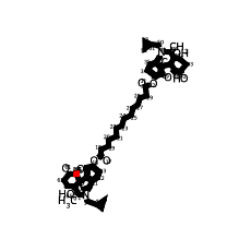 CC1N(CC2CC2)C2C[C@]34c5c2ccc(OC(=O)CCCCCCCCCCCCC(=O)Oc2ccc6c7c2O[C@H]2C(=O)CC[C@@]8(O)C(C)N(CC9CC9)C6C[C@]728)c5O[C@H]3C(=O)CC[C@@]14O